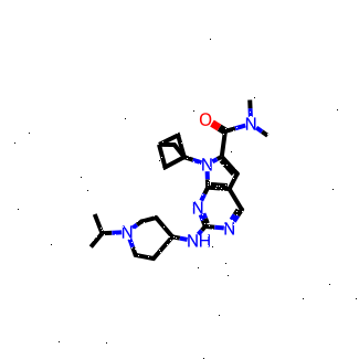 CC(C)N1CCC(Nc2ncc3cc(C(=O)N(C)C)n(C45CC(C4)C5)c3n2)CC1